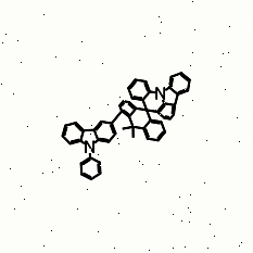 CC1(C)c2ccccc2C2(c3ccccc3-n3c4ccccc4c4cccc2c43)c2cccc(-c3ccc4c(c3)c3ccccc3n4-c3ccccc3)c21